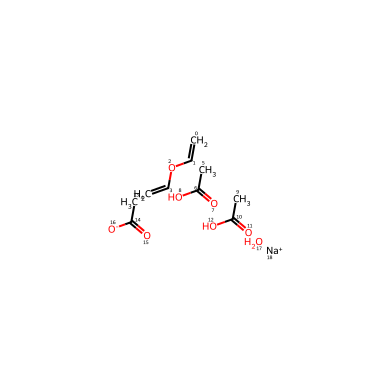 C=COC=C.CC(=O)O.CC(=O)O.CC(=O)[O-].O.[Na+]